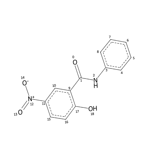 O=C(Nc1ccccc1)c1cc([N+](=O)[O-])ccc1O